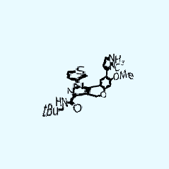 COc1cc2c(cc1-c1ccnn1C)-c1c(c(C(=O)NCC(C)(C)C)nn1-c1ccsc1)CO2